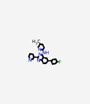 Cc1ccc(Nc2nc(-c3cccnc3)nc3ccc(-c4ccc(F)cc4)cc23)nc1